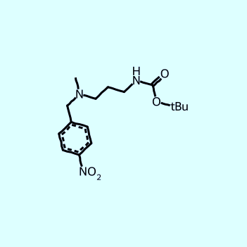 CN(CCCNC(=O)OC(C)(C)C)Cc1ccc([N+](=O)[O-])cc1